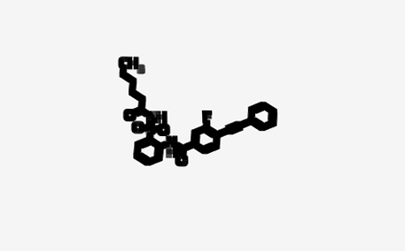 CCCCCC(=O)NS(=O)(=O)c1ccccc1NC(=O)c1ccc(C#Cc2ccccc2)c(F)c1